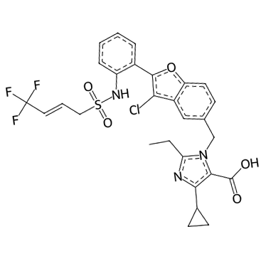 CCc1nc(C2CC2)c(C(=O)O)n1Cc1ccc2oc(-c3ccccc3NS(=O)(=O)CC=CC(F)(F)F)c(Cl)c2c1